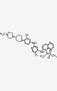 CCc1cc(Nc2ncc(Cl)c(Nc3ccc4nccnc4c3N(C)S(C)(=O)=O)n2)ccc1N1CCC(N2CCN(C)CC2)CC1